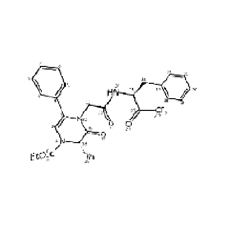 CCOC(=O)N1C=C(c2ccccc2)N(CC(=O)N[C@@H](Cc2ccccc2)C(=O)C(F)(F)F)C(=O)[C@@H]1C(C)C